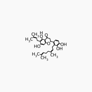 CC(C)=CCCC(C)=CCc1c(C2CC(=O)c3c(cc(O)c(CC=C(C)C)c3O)O2)ccc(O)c1O